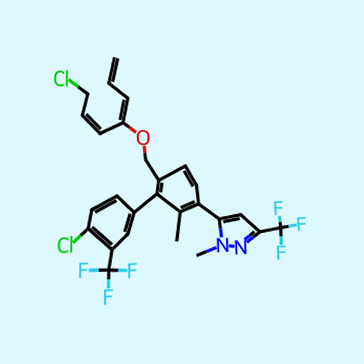 C=C/C=C(\C=C/CCl)OCc1ccc(-c2cc(C(F)(F)F)nn2C)c(C)c1-c1ccc(Cl)c(C(F)(F)F)c1